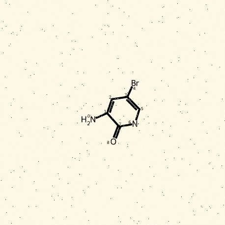 NC1=CC(Br)=C[N]C1=O